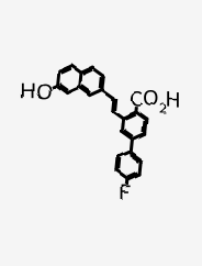 O=C(O)c1ccc(-c2ccc(F)cc2)cc1C=Cc1ccc2ccc(O)cc2c1